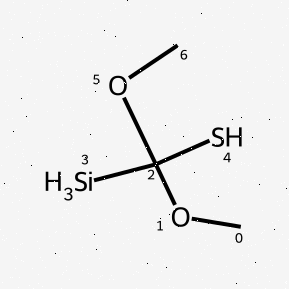 COC([SiH3])(S)OC